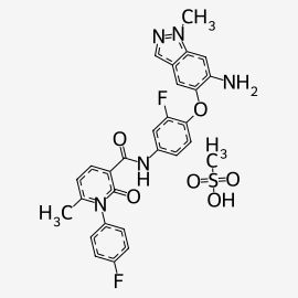 CS(=O)(=O)O.Cc1ccc(C(=O)Nc2ccc(Oc3cc4cnn(C)c4cc3N)c(F)c2)c(=O)n1-c1ccc(F)cc1